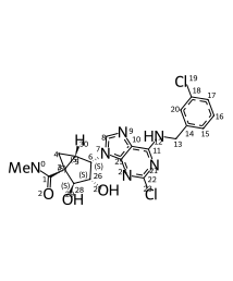 CNC(=O)[C@@]12C[C@@H]1[C@H](n1cnc3c(NCc4cccc(Cl)c4)nc(Cl)nc31)[C@H](O)[C@H]2O